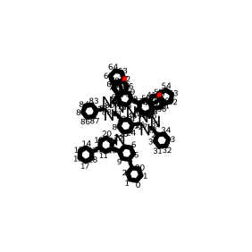 c1ccc(-c2ccc3c(c2)c2cc(-c4ccccc4)ccc2n3-c2cc(-c3nc(-c4ccccc4)nc(-c4ccccc4)n3)c(-n3c4ccc(-c5ccccc5)cc4c4cc(-c5ccccc5)ccc43)c(-c3nc(-c4ccccc4)nc(-c4ccccc4)n3)c2)cc1